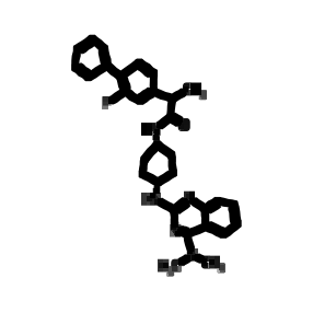 CC(C(=O)N[C@H]1CC[C@@H](Nc2nc(N(C)C)c3ccccc3n2)CC1)c1ccc(-c2ccccc2)c(F)c1